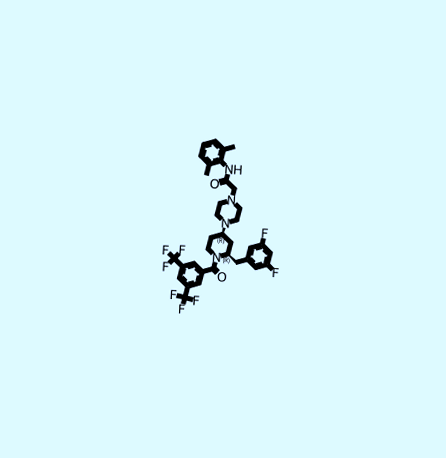 Cc1cccc(C)c1NC(=O)CN1CCN([C@@H]2CCN(C(=O)c3cc(C(F)(F)F)cc(C(F)(F)F)c3)[C@H](Cc3cc(F)cc(F)c3)C2)CC1